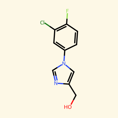 OCc1cn(-c2ccc(F)c(Cl)c2)cn1